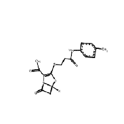 Cc1ccc(NC(=O)CCSC2=C(C(=O)O)N3C(=O)C[C@H]3S2)cc1